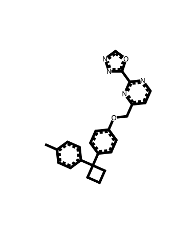 Cc1ccc(C2(c3ccc(OCc4ccnc(-c5nnco5)n4)cc3)CCC2)cc1